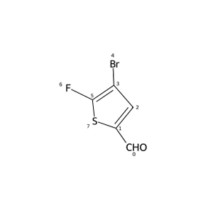 O=Cc1cc(Br)c(F)s1